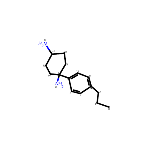 CCCc1ccc(C2(N)CCC(N)CC2)cc1